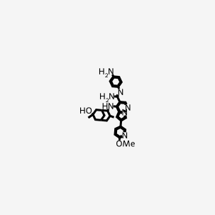 COc1ccc(-c2cc3c(NC4C(C)CC5CC4CC(C)(O)C5)c(/C(N)=N/c4ccc(N)cc4)cnn3c2)cn1